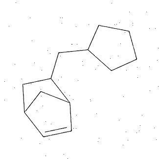 C1=CC2CC1CC2CC1CCCC1